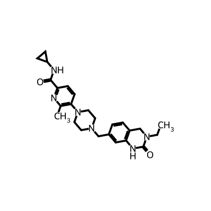 CCN1Cc2ccc(CN3CCN(c4ccc(C(=O)NC5CC5)nc4C)CC3)cc2NC1=O